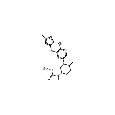 Cc1cc(Nc2nc(N3CC(NC(=O)OC(C)(C)C)CCC3C)cnc2C#N)sn1